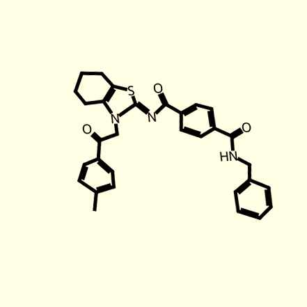 Cc1ccc(C(=O)Cn2c3c(s/c2=N\C(=O)c2ccc(C(=O)NCc4ccccc4)cc2)CCCC3)cc1